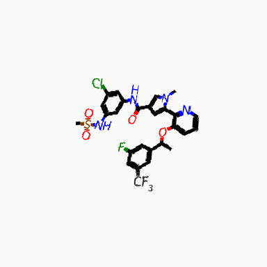 CC(Oc1cccnc1-c1cc(C(=O)Nc2cc(Cl)cc(NS(C)(=O)=O)c2)cn1C)c1cc(F)cc(C(F)(F)F)c1